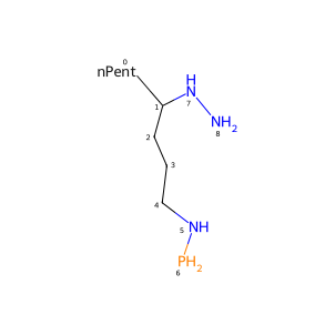 CCCCCC(CCCNP)NN